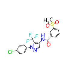 CS(=O)(=O)c1cccc(C(=O)Nc2cnn(-c3ccc(Cl)cc3)c2C(F)(F)F)c1